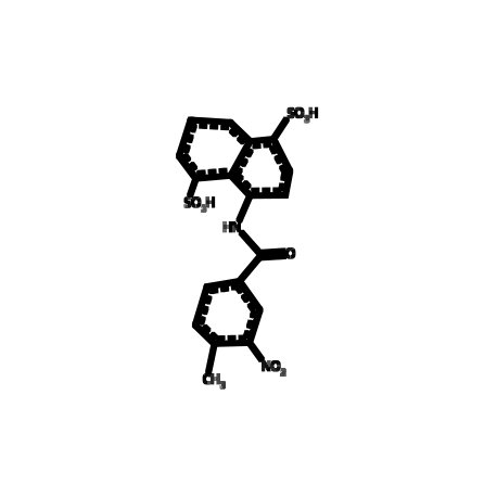 Cc1ccc(C(=O)Nc2ccc(S(=O)(=O)O)c3cccc(S(=O)(=O)O)c23)cc1[N+](=O)[O-]